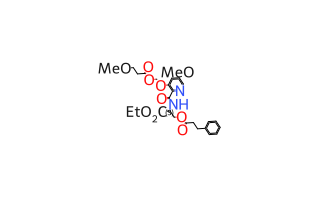 CCOC(=O)[C@H](COC(=O)CCc1ccccc1)NC(=O)c1nccc(OC)c1OCOC(=O)CCOC